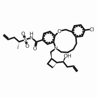 C=CC[C@@H](C)S(=O)(=O)NC(=O)c1ccc2c(c1)N(C[C@@H]1CC[C@H]1[C@@H](O)CC=C)CCCCc1cc(Cl)ccc1CO2